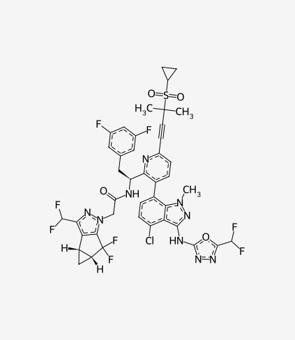 Cn1nc(Nc2nnc(C(F)F)o2)c2c(Cl)ccc(-c3ccc(C#CC(C)(C)S(=O)(=O)C4CC4)nc3[C@H](Cc3cc(F)cc(F)c3)NC(=O)Cn3nc(C(F)F)c4c3C(F)(F)[C@@H]3C[C@H]43)c21